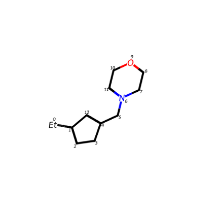 CCC1CCC(CN2CCOCC2)C1